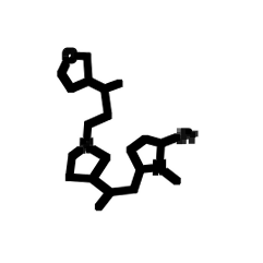 CC(C)C1CCC(CC(C)C2CCN(CCC(C)C3CCOC3)C2)N1C